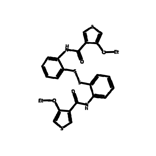 CCOc1cscc1C(=O)Nc1ccccc1SSc1ccccc1NC(=O)c1cscc1OCC